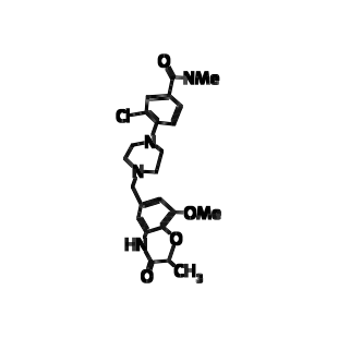 CNC(=O)c1ccc(N2CCN(Cc3cc4c(c(OC)c3)OC(C)C(=O)N4)CC2)c(Cl)c1